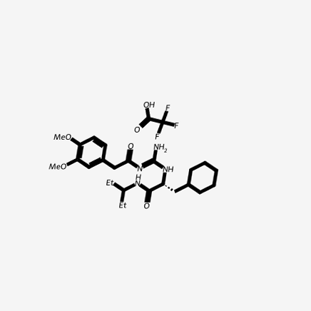 CCC(CC)NC(=O)[C@@H](CC1CCCCC1)NC(N)=NC(=O)Cc1ccc(OC)c(OC)c1.O=C(O)C(F)(F)F